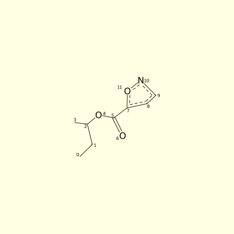 CCC(C)OC(=O)c1ccno1